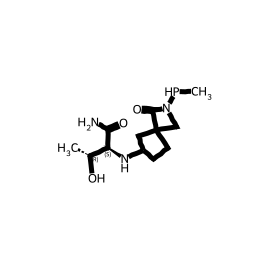 CPN1CC2(CCC(N[C@H](C(N)=O)[C@@H](C)O)C2)C1=O